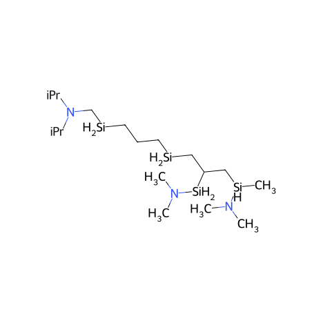 CC(C)N(C[SiH2]CCC[SiH2]CC(C[SiH](C)N(C)C)[SiH2]N(C)C)C(C)C